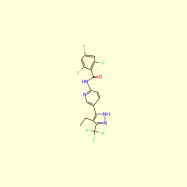 CCc1c(C(F)(F)F)n[nH]c1-c1ccc(NC(=O)c2c(F)cc(F)cc2F)nc1